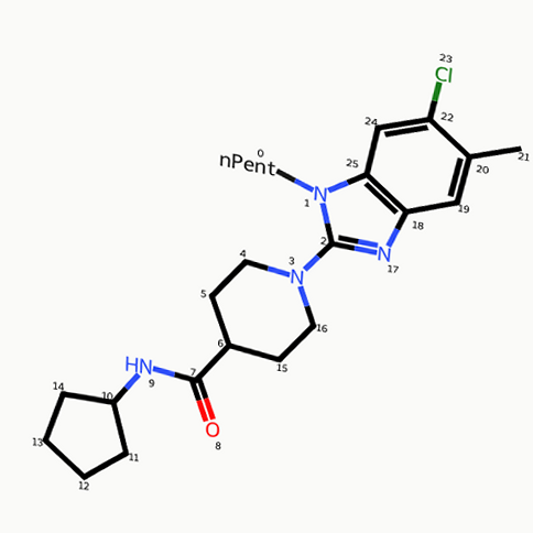 CCCCCn1c(N2CCC(C(=O)NC3CCCC3)CC2)nc2cc(C)c(Cl)cc21